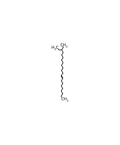 CCCCCCCCC=CCCCCCCCCCC(CC)CC